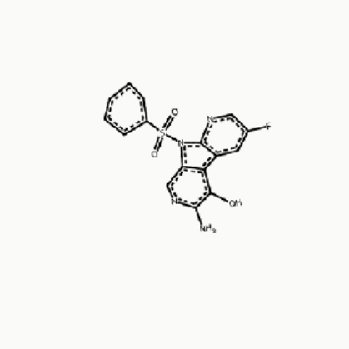 Nc1ncc2c(c1O)c1cc(F)cnc1n2S(=O)(=O)c1ccccc1